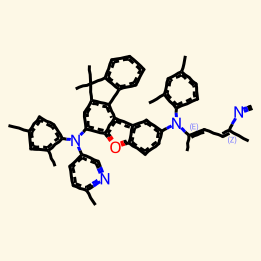 C=N/C(C)=C\C=C(/C)N(c1ccc2oc3c(N(c4ccc(C)nc4)c4ccc(C)cc4C)cc4c(c3c2c1)-c1ccccc1C4(C)C)c1ccc(C)cc1C